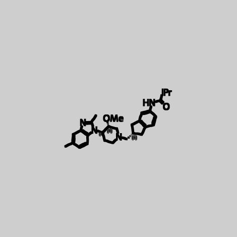 CO[C@@H]1CN(C[C@H]2Cc3ccc(NC(=O)C(C)C)cc3C2)CC[C@H]1n1c(C)nc2cc(C)ccc21